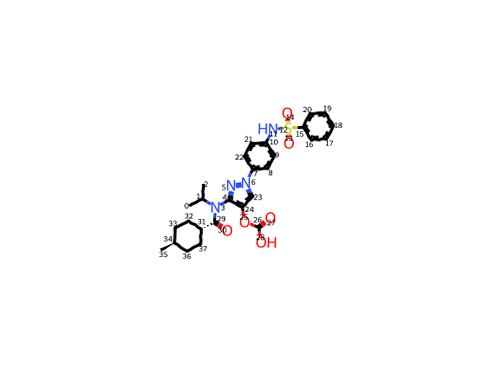 CC(C)N(c1nn(-c2ccc(NS(=O)(=O)c3ccccc3)cc2)cc1OC(=O)O)C(=O)[C@H]1CC[C@H](C)CC1